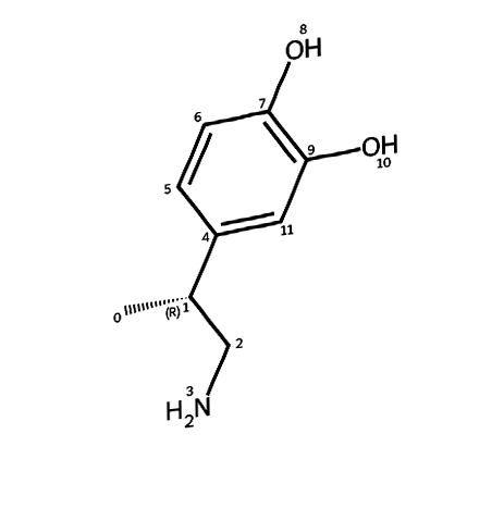 C[C@@H](CN)c1ccc(O)c(O)c1